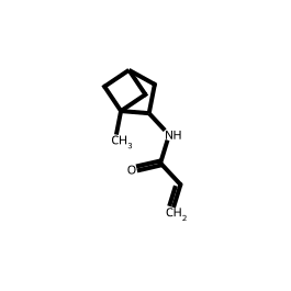 C=CC(=O)NC1CC2CC1(C)C2